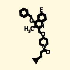 Cc1c(COC2CCN(C(=O)CCC3CC3)CC2)nc2ccc(F)cc2c1OCc1ccccc1